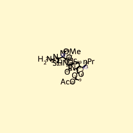 CCC/C=C\C1=C(C(=O)OC(C)OC(C)=O)N2C(=O)[C@@H](NC(=O)/C(=N\OC)c3csc(N)n3)[C@@H]2SC1